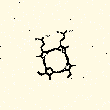 C=CC1=C(C)c2cc3[nH]c(cc4nc(cc5[nH]c(cc1n2)c(C)c5CCC(O)OC)C(CCC(O)OC)=C4C)c(C)c3C=C